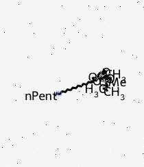 CCCCC/C=C/CCCCCCCCCCCCC(=O)O[C@@H]1CC[C@]2(CO2)[C@@H]([C@@]2(C)O[C@@H]2CC=C(C)C)[C@@H]1OC